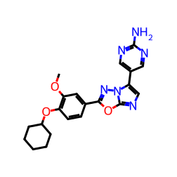 COc1cc(-c2nn3c(-c4cnc(N)nc4)cnc3o2)ccc1OC1CCCCC1